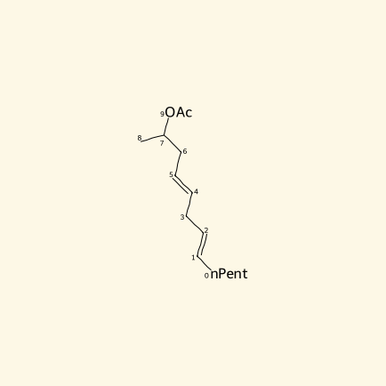 CCCCCC=CCC=CCC(C)OC(C)=O